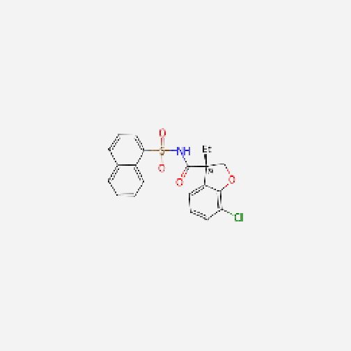 CC[C@@]1(C(=O)NS(=O)(=O)c2cccc3ccccc23)COc2c(Cl)cccc21